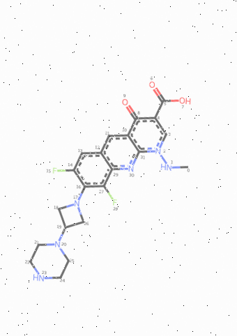 CNn1cc(C(=O)O)c(=O)c2cc3cc(F)c(N4CC(N5CCNCC5)C4)c(F)c3nc21